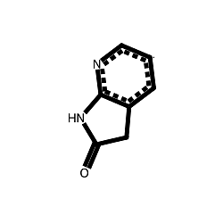 O=C1Cc2c[c]cnc2N1